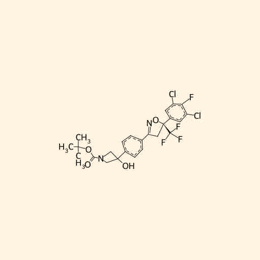 CC(C)(C)OC(=O)N1CC(O)(c2ccc(C3=NO[C@@](c4cc(Cl)c(F)c(Cl)c4)(C(F)(F)F)C3)cc2)C1